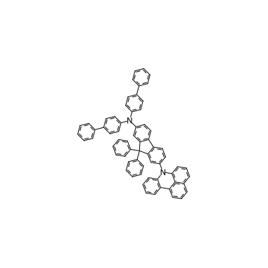 c1ccc(-c2ccc(N(c3ccc(-c4ccccc4)cc3)c3ccc4c(c3)C(c3ccccc3)(c3ccccc3)c3cc(N5c6ccccc6-c6cccc7cccc5c67)ccc3-4)cc2)cc1